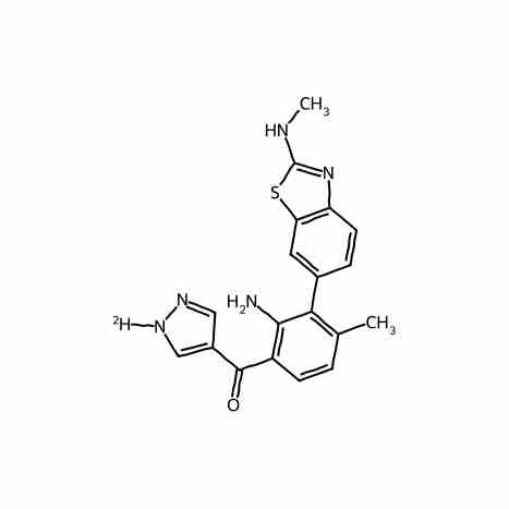 [2H]n1cc(C(=O)c2ccc(C)c(-c3ccc4nc(NC)sc4c3)c2N)cn1